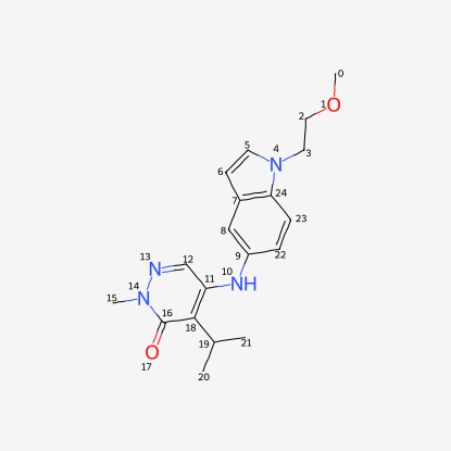 COCCn1ccc2cc(Nc3cnn(C)c(=O)c3C(C)C)ccc21